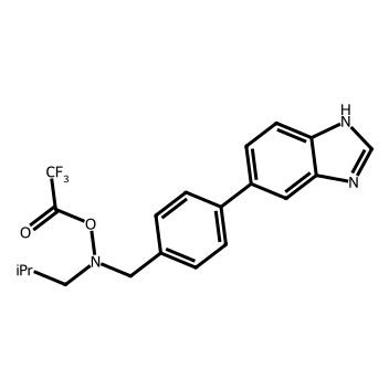 CC(C)CN(Cc1ccc(-c2ccc3[nH]cnc3c2)cc1)OC(=O)C(F)(F)F